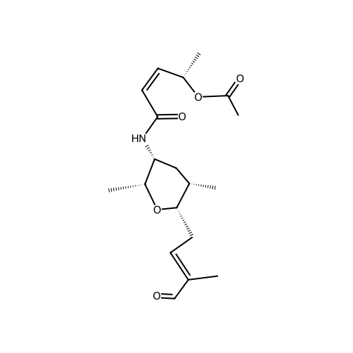 CC(=O)O[C@@H](C)/C=C\C(=O)N[C@@H]1C[C@H](C)[C@H](C/C=C(\C)C=O)O[C@@H]1C